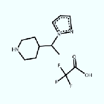 CC(C1CCNCC1)n1cccn1.O=C(O)C(F)(F)F